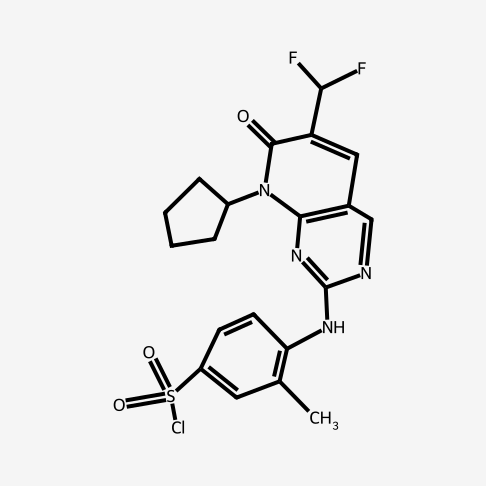 Cc1cc(S(=O)(=O)Cl)ccc1Nc1ncc2cc(C(F)F)c(=O)n(C3CCCC3)c2n1